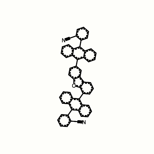 N#Cc1ccccc1-c1c2ccccc2c(-c2ccc3oc4c(-c5c6ccccc6c(-c6ccccc6C#N)c6ccccc56)cccc4c3c2)c2ccccc12